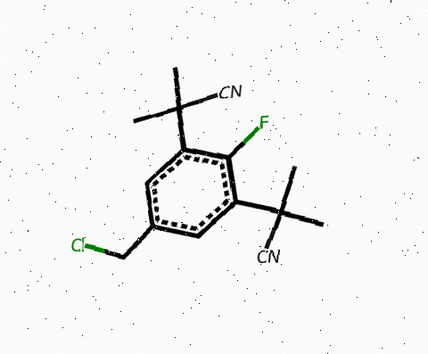 CC(C)(C#N)c1cc(CCl)cc(C(C)(C)C#N)c1F